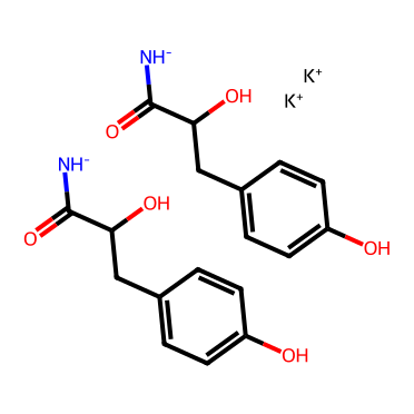 [K+].[K+].[NH-]C(=O)C(O)Cc1ccc(O)cc1.[NH-]C(=O)C(O)Cc1ccc(O)cc1